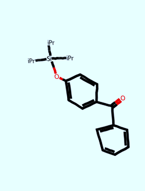 CC(C)[Si](Oc1ccc(C(=O)c2ccccc2)cc1)(C(C)C)C(C)C